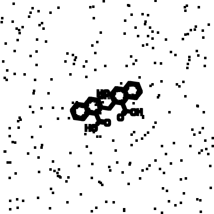 O=C(O)c1c(Cc2c(O)cc3ccccc3c2C(=O)O)c(O)cc2ccccc12